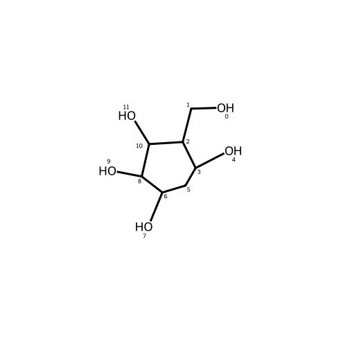 OCC1C(O)CC(O)C(O)C1O